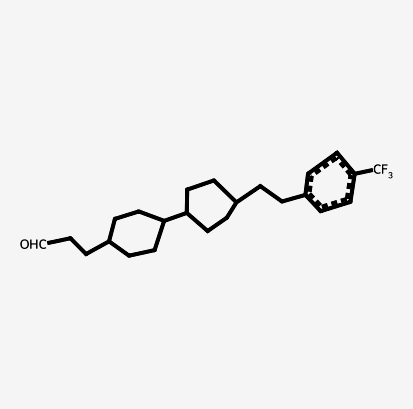 O=CCCC1CCC(C2CCC(CCc3ccc(C(F)(F)F)cc3)CC2)CC1